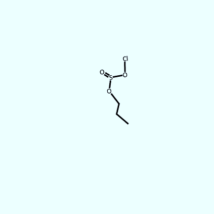 CCCOS(=O)OCl